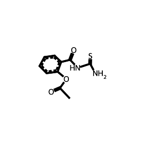 CC(=O)Oc1ccccc1C(=O)NC(N)=S